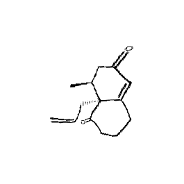 C=CC[C@@]12C(=O)CCCC1=CC(=O)C[C@@H]2C